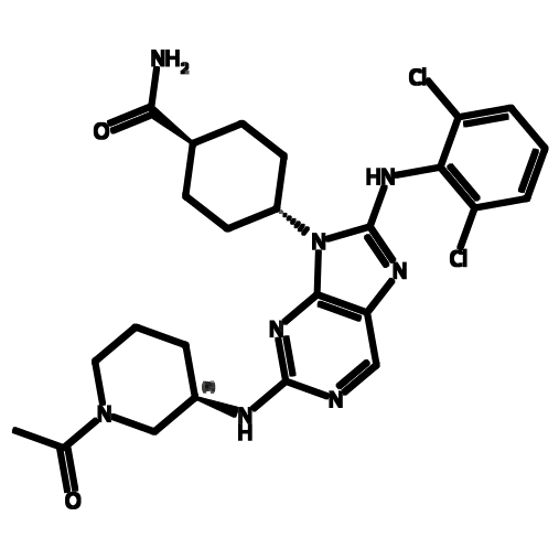 CC(=O)N1CCC[C@@H](Nc2ncc3nc(Nc4c(Cl)cccc4Cl)n([C@H]4CC[C@H](C(N)=O)CC4)c3n2)C1